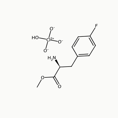 COC(=O)[C@@H](N)Cc1ccc(F)cc1.[O-][Cl+3]([O-])([O-])O